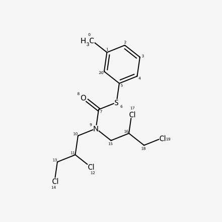 Cc1cccc(SC(=O)N(CC(Cl)CCl)CC(Cl)CCl)c1